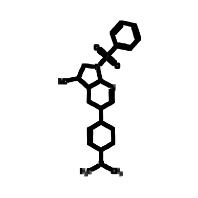 CN(C)C1C=CC(C2C=NC3C(C2)C(C#N)CN3S(=O)(=O)c2ccccc2)CC1